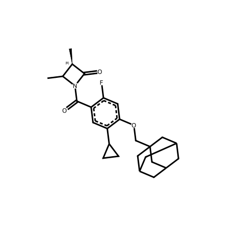 CC1[C@@H](C)C(=O)N1C(=O)c1cc(C2CC2)c(OCC23CC4CC(CC(C4)C2)C3)cc1F